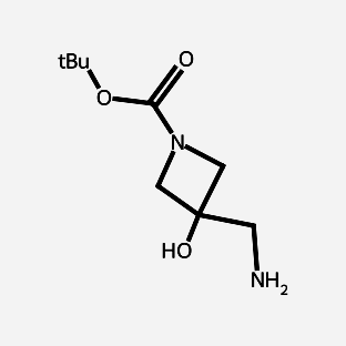 CC(C)(C)OC(=O)N1CC(O)(CN)C1